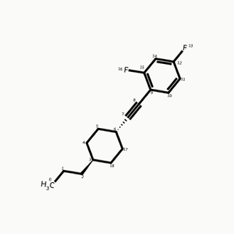 CCC[C@H]1CC[C@H](C#Cc2ccc(F)cc2F)CC1